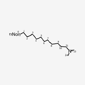 CCCCCCCCCCCCCCCCCC[CH]CN(C)C